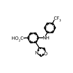 O=C(O)c1ccc(Nc2ccc(C(F)(F)F)cc2)c(-c2cocn2)c1